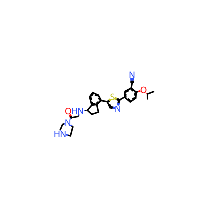 CC(C)Oc1ccc(-c2ncc(-c3cccc4c3CC[C@@H]4NCC(=O)N3CCNCC3)s2)cc1C#N